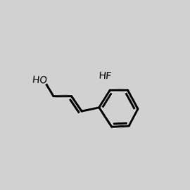 F.OCC=Cc1ccccc1